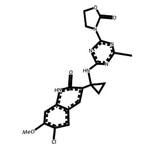 COc1cc2[nH]c(=O)c(C3(Nc4nc(C)nc(N5CCOC5=O)n4)CC3)cc2cc1Cl